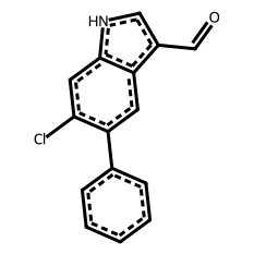 O=Cc1c[nH]c2cc(Cl)c(-c3ccccc3)cc12